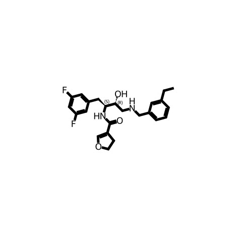 CCc1cccc(CNC[C@@H](O)[C@H](Cc2cc(F)cc(F)c2)NC(=O)C2=COCC2)c1